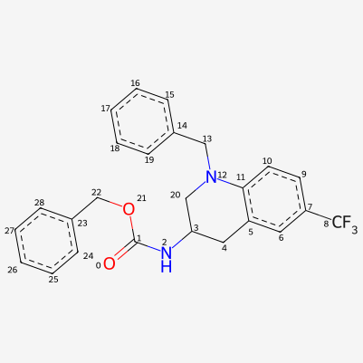 O=C(NC1Cc2cc(C(F)(F)F)ccc2N(Cc2ccccc2)C1)OCc1ccccc1